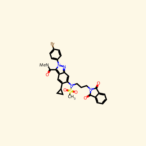 CNC(=O)c1c2cc(C3CC3)c(N(CCCN3C(=O)c4ccccc4C3=O)S(C)(=O)=O)cc2nn1-c1ccc(Br)cc1